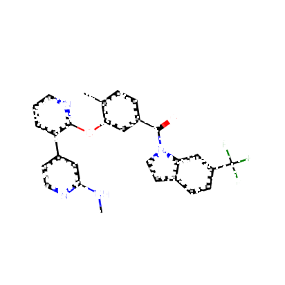 CNc1cc(-c2cccnc2Oc2cc(C(=O)n3ccc4ccc(C(F)(F)F)cc43)ccc2C)ccn1